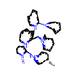 [Ru].c1cc[n+](-c2cccc[nH+]2)cc1.c1cc[n+](-c2cccc[nH+]2)cc1.c1cc[n+](-c2cccc[nH+]2)cc1